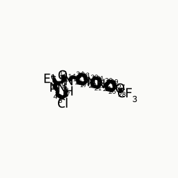 CCc1nc2cc(Cl)ccn2c1C(=O)NCc1ccc(N2CCN(c3ccc(OC(F)(F)F)cc3)CC2)cc1